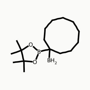 BC1(B2OC(C)(C)C(C)(C)O2)CCCCCCCCC1